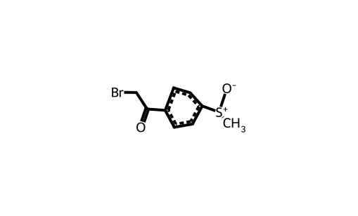 C[S+]([O-])c1ccc(C(=O)CBr)cc1